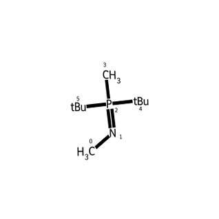 CN=P(C)(C(C)(C)C)C(C)(C)C